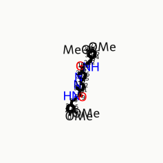 COc1ccc(CCNC(=O)c2ccc(-c3ccc(C(=O)NCCc4ccc(OC)c(OC)c4)cn3)nc2)cc1OC